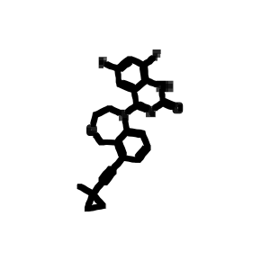 CC1(C#Cc2cccc3c2COCCN3c2nc(=O)[nH]c3c(F)cc(F)cc23)CC1